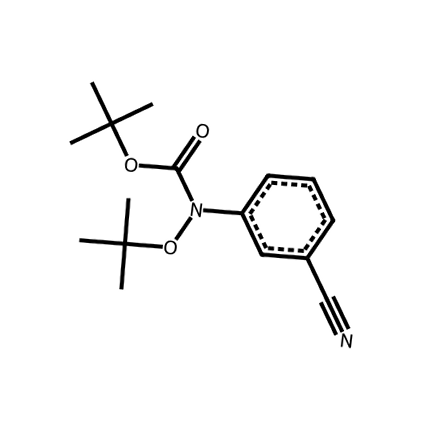 CC(C)(C)OC(=O)N(OC(C)(C)C)c1cccc(C#N)c1